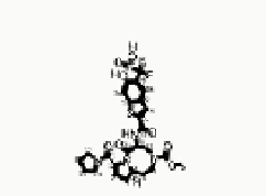 COC(=O)N1CC[C@H]2CC[C@@H](C(=O)N3CCCC3)N2C(=O)C(NC(=O)c2cc3cc(C(F)(F)P(=O)(O)O)ccc3s2)C1